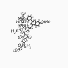 C=C[C@@H]1C[C@]1(NC(=O)[C@@H]1C[C@@H](Oc2cc(-c3ccccc3)nc3cc(OC)ccc23)CN1C(=O)[C@@H](CC(=O)N1CCC(N(C)C(=O)OC(C)(C)C)C1)C(C)(C)C)C(=O)NS(=O)(=O)C1CC1